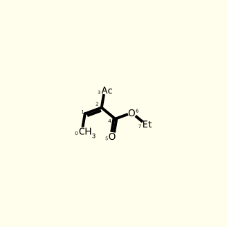 C/C=C(/C(C)=O)C(=O)OCC